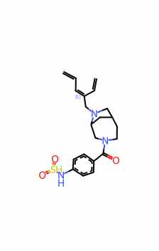 C=C/C=C(\C=C)CN1CC2CCN(C(=O)c3ccc(N[SH](=O)=O)cc3)CC1C2